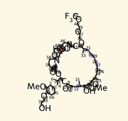 CO[C@@H]1C[C@H](C[C@@H](C)[C@@H]2CC(=O)[C@H](C)/C=C(\C)[C@@H](O)[C@@H](OC)C(=O)[C@H](C)C[C@H](C)/C=C/C=C/C=C(\C)[C@@H](OCCOCCOC(F)(F)F)C[C@@H]3CC[C@@H](C)[C@@](O)(O3)C(=O)C(=O)N3CCCC[C@H]3C(=O)O2)CC[C@H]1OCCO